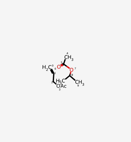 C=CCOC(C)=O.CC(=O)OC(C)C